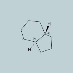 [CH]1CCC[C@@H]2CCC[C@@H]12